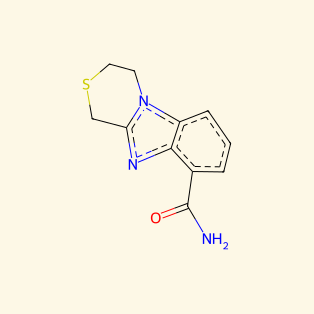 NC(=O)c1cccc2c1nc1n2CCSC1